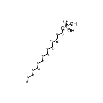 CCCCCCCCCCCCSCCOP(=O)(O)O